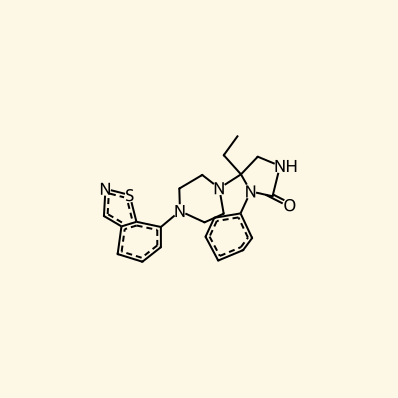 CCC1(N2CCN(c3cccc4cnsc34)CC2)CNC(=O)N1c1ccccc1